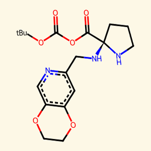 CC(C)(C)OC(=O)OC(=O)[C@]1(NCc2cc3c(cn2)OCCO3)CCCN1